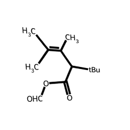 CC(C)=C(C)C(C(=O)OC=O)C(C)(C)C